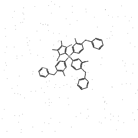 CC1=C(C)C(C)C([Si](c2ccc(Cc3ccccc3)c(C)c2)(c2ccc(Cc3ccccc3)c(C)c2)c2ccc(Cc3ccccc3)c(C)c2)=C1C